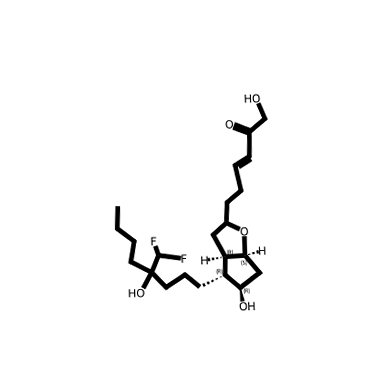 CCCCC(O)(CCC[C@@H]1[C@H]2CC(CCC=CC(=O)CO)O[C@H]2C[C@H]1O)C(F)F